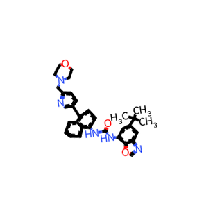 CC(C)(C)c1cc(NC(=O)Nc2ccc(-c3ccc(CN4CCOCC4)nc3)c3ccccc23)c2ocnc2c1